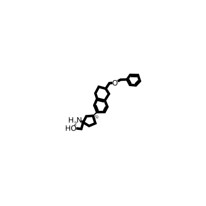 N[C@]1(CO)CC[C@H](c2ccc3c(c2)CCC(COCc2ccccc2)C3)C1